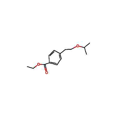 CCOC(=O)c1ccc(CCOC(C)C)cc1